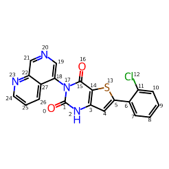 O=c1[nH]c2cc(-c3ccccc3Cl)sc2c(=O)n1-c1cncc2ncccc12